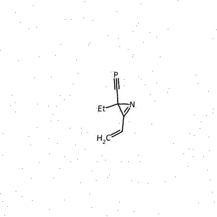 C=CC1=NC1(C#P)CC